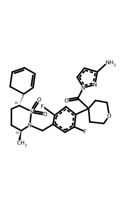 C[C@H]1CC[C@H](C2C=CC=CC2)S(=O)(=O)N1Cc1cc(F)c(C2(C(=O)n3ccc(N)n3)CCOCC2)cc1F